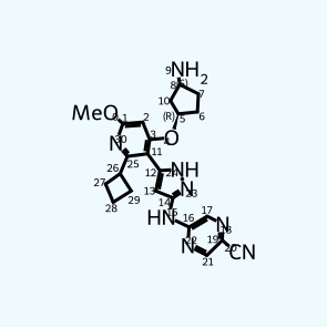 COc1cc(O[C@@H]2CC[C@H](N)C2)c(-c2cc(Nc3cnc(C#N)cn3)n[nH]2)c(C2CCC2)n1